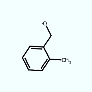 Cc1ccccc1C[O]